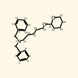 [CH](c1ccccc1)N([CH]c1ccccc1)CCCCCOC1CCCCO1